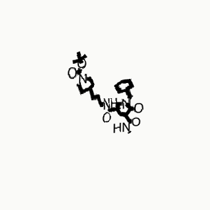 CNC(=O)c1cc(C(=O)NCCCC2CCN(C(=O)OC(C)(C)C)CC2)cn(Cc2ccccc2)c1=O